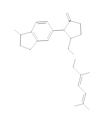 C/C(=C\C=C(/C)C(=O)O)COCC1CCC(=O)C1c1ccc2c(c1)CCC2O